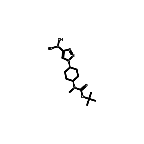 CN(C(=O)OC(C)(C)C)[C@H]1CC[C@@H](n2cc(B(O)O)nn2)CC1